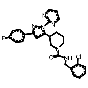 O=C(NCc1ccccc1Cl)N1CCCC(c2cc(-c3ccc(F)cc3)nn2-c2ncccn2)C1